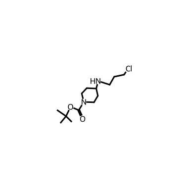 CC(C)(C)OC(=O)N1CCC(NCCCCl)CC1